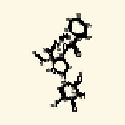 [N-]=[N+]=N[C@]1(CI)O[C@@H](n2cc(F)c(=O)[nH]c2=O)C[C@@H]1OC(=O)c1ccccc1